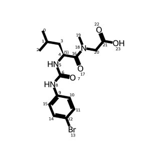 CC(C)C[C@H](NC(=O)Nc1ccc(Br)cc1)C(=O)N(C)CC(=O)O